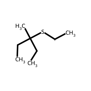 C[CH]SC(C)(CC)CC